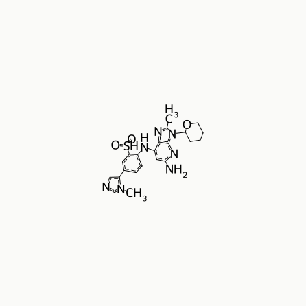 Cc1nc2c(Nc3ccc(-c4cncn4C)cc3[SH](=O)=O)cc(N)nc2n1C1CCCCO1